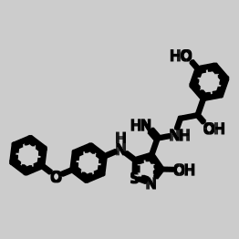 N=C(NCC(O)c1cccc(O)c1)c1c(O)nsc1Nc1ccc(Oc2ccccc2)cc1